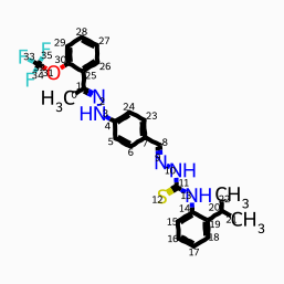 C/C(=N\Nc1ccc(/C=N/NC(=S)Nc2ccccc2C(C)C)cc1)c1ccccc1OC(F)(F)F